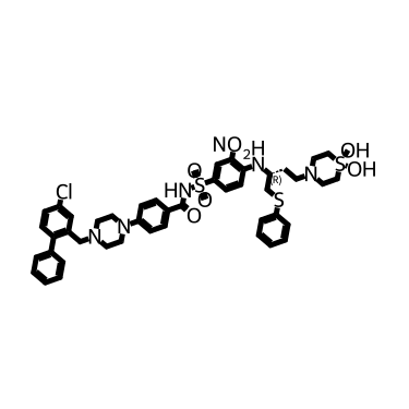 O=C(NS(=O)(=O)c1ccc(N[C@H](CCN2CCS(O)(O)CC2)CSc2ccccc2)c([N+](=O)[O-])c1)c1ccc(N2CCN(Cc3cc(Cl)ccc3-c3ccccc3)CC2)cc1